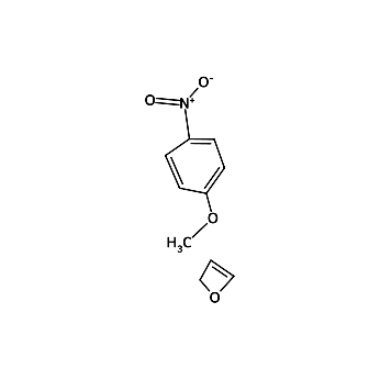 C1=COC1.COc1ccc([N+](=O)[O-])cc1